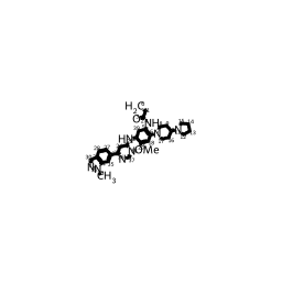 C=CC(=O)NC1=C(N2CCC(N3CCCC3)CC2)C=C(OC)C(NC2CC(c3ccc4cnn(C)c4c3)=NC=N2)C1